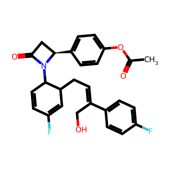 CC(=O)Oc1ccc([C@@H]2CC(=O)N2C2C=CC(F)=CC2C/C=C(\CO)c2ccc(F)cc2)cc1